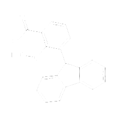 COc1c(C(=O)Cl)cccc1C1c2ccccc2-c2ccccc21